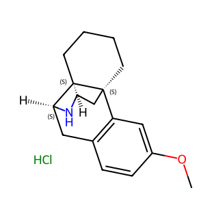 COc1ccc2c(c1)[C@]13CCCC[C@@H]1[C@H](C2)NCC3.Cl